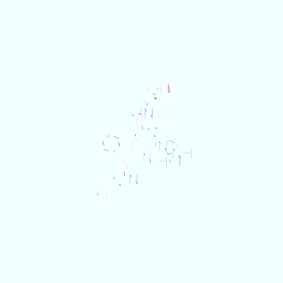 CC(C)C[C@H](O)[C@H](CC1CCCCC1)NC(=O)[C@H](Cc1c[nH]cn1)N(C)C(=O)[C@H](Cc1ccccc1)OC(=O)N(C)CCN(C)C(=O)N1CCOCC1.Cl